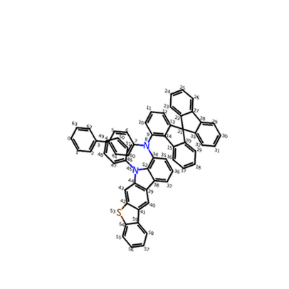 c1ccc(-c2ccc(N(c3cccc4c3-c3ccccc3C43c4ccccc4-c4ccccc43)c3cccc4c5cc6c(cc5n(-c5ccccc5)c34)sc3ccccc36)cc2)cc1